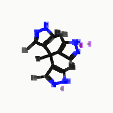 CCc1n[nH]c(CC)c1[C]([Ti])(c1c(CC)n[nH]c1CC)c1c(CC)n[nH]c1CC.[I].[I].[I]